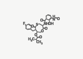 CC(C)C(=O)OC1COC(=O)C(NC(=O)c2cccc(NC=O)c2O)CSC(=O)C1Cc1ccc(F)cc1